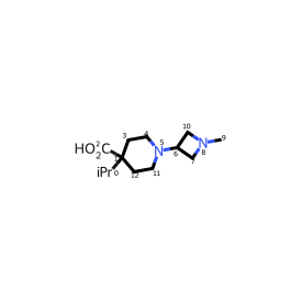 CC(C)C1(C(=O)O)CCN(C2CN(C)C2)CC1